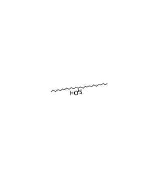 CCCCCCCCCCCCCC(CCCCCCCCCCCC)C(O)=S